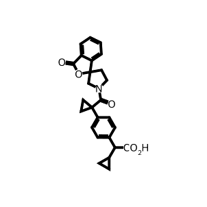 O=C1OC2(CCN(C(=O)C3(c4ccc(C(C(=O)O)C5CC5)cc4)CC3)C2)c2ccccc21